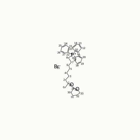 CC(CCCCCCC[P+](c1ccccc1)(c1ccccc1)c1ccccc1)OC1CCCCO1.[Br-]